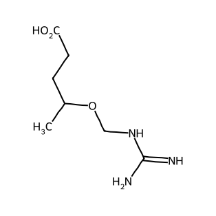 CC(CCC(=O)O)OCNC(=N)N